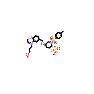 COCCCN1CCOc2ccc(CO[C@@H]3CC[C@@H](CS(=O)(=O)OC)N(S(=O)(=O)c4ccc(C)cc4)C3)cc21